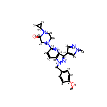 COc1ccc(Cn2nc(-c3cnn(C)c3)c3nc(N4CCN(C5CC5)C(=O)C4)ccc32)cc1